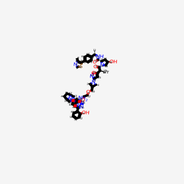 Cc1ncsc1-c1ccc([C@H](C)NC(=O)[C@@H]2C[C@@H](O)CN2C(=O)[C@H](c2cc(N3CC(COCCOc4cc(N5C6CCC5CN(c5cc(-c7ccccc7O)nnc5N)C6)ccn4)C3)no2)C(C)C)cc1